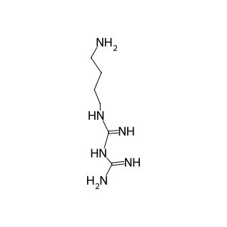 N=C(N)NC(=N)NCCCCN